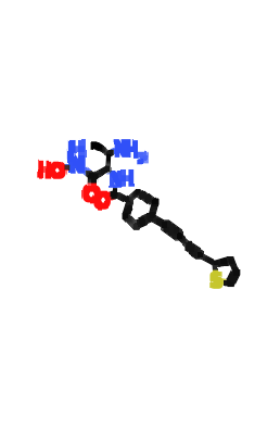 C[C@@H](N)[C@H](NC(=O)c1ccc(C#CC#Cc2cccs2)cc1)C(=O)NO